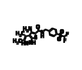 CC1=C(C)c2c(sc(C(=O)NCc3ccc(S(=O)(=O)C(F)F)cc3)c2N)NN1